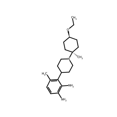 CCO[C@H]1CC[C@@](C)(N2CCC(c3c(C)ccc(N)c3N)CC2)CC1